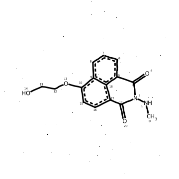 CNN1C(=O)c2cccc3c(OCCO)ccc(c23)C1=O